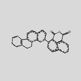 O=C1OC(=O)c2c(-c3ccc4ccc5c(c4c3)CCC3=C5C=CCC3)ccc3cccc1c23